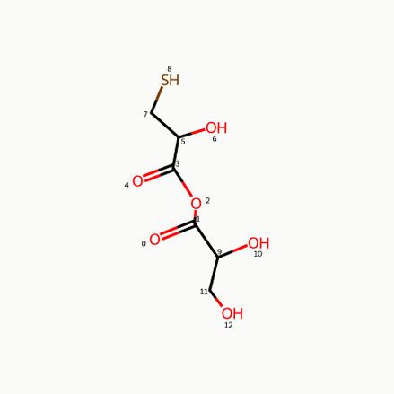 O=C(OC(=O)C(O)CS)C(O)CO